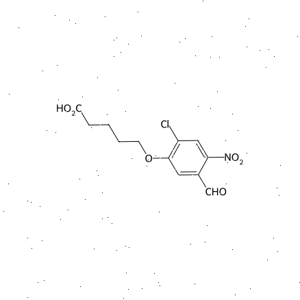 O=Cc1cc(OCCCCC(=O)O)c(Cl)cc1[N+](=O)[O-]